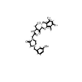 CC(C)(C)c1cccc(CN2CCN(CC(=O)NC(CC(=O)O)C(=O)COc3c(F)c(F)cc(F)c3F)C(=O)C2)c1